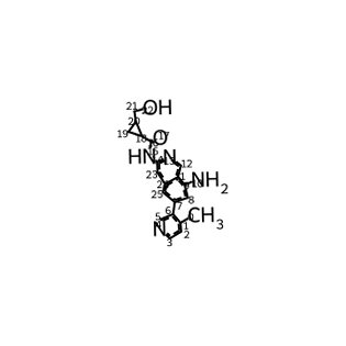 Cc1ccncc1-c1cc(N)c2cnc(NC(=O)C3CC3CO)cc2c1